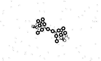 CCC1(CSc2ccc(C3(c4ccccc4)c4ccccc4-c4ccc(N(c5ccc(-c6ccccc6)cc5)c5ccc(-c6ccc(N(c7ccc(-c8ccccc8)cc7)c7ccc8c(c7)[C@@](c7ccccc7)(c7ccc(SCC9(CC)COC9)cc7)c7ccccc7-8)cc6)cc5)cc43)cc2)COC1